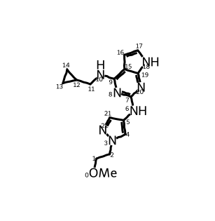 COCCn1cc(Nc2nc(NCC3CC3)c3cc[nH]c3n2)cn1